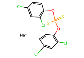 S=P([S-])(Oc1ccc(Cl)cc1Cl)Oc1ccc(Cl)cc1Cl.[Na+]